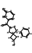 O=C(c1nccc(=O)[nH]1)N1C[C@H](c2ccccc2)C2(CC(F)C2)C1